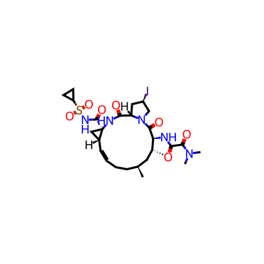 C[C@H]1CC/C=C\[C@@H]2C[C@@]2(C(=O)NS(=O)(=O)C2CC2)NC(=O)[C@@H]2C[C@@H](I)CN2C(=O)[C@@H](NC(=O)C(=O)N(C)C)[C@H](C)C1